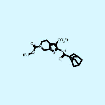 CCOC(=O)c1c(NC(=O)C23CC4CC(CC2C4)C3)sc2c1CCN(C(=O)OC(C)(C)C)C2